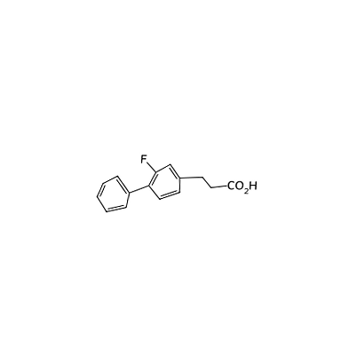 O=C(O)CCc1ccc(-c2ccccc2)c(F)c1